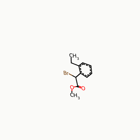 CCc1ccccc1C(Br)C(=O)OC